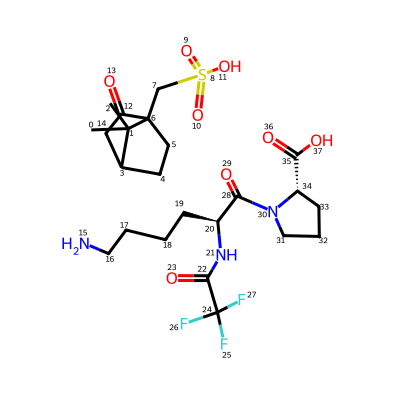 CC1(C)C2CCC1(CS(=O)(=O)O)C(=O)C2.NCCCC[C@H](NC(=O)C(F)(F)F)C(=O)N1CCC[C@H]1C(=O)O